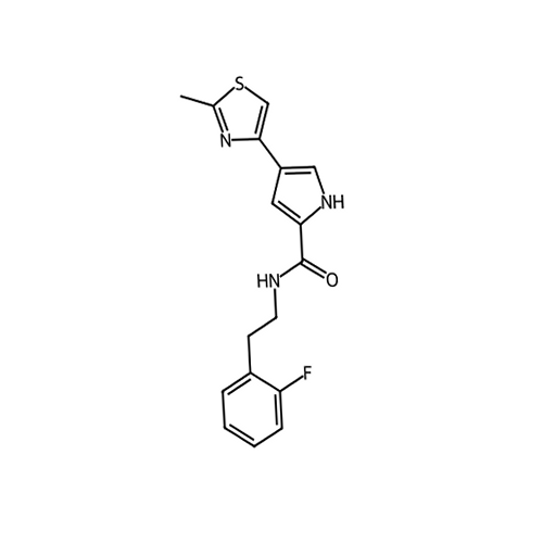 Cc1nc(-c2c[nH]c(C(=O)NCCc3ccccc3F)c2)cs1